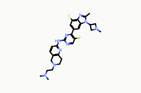 Cc1nc2c(F)cc(-c3nc(Nc4ccc5c(n4)CCN(CCN(C)C)C5)ncc3F)cc2n1C1CN(C)C1